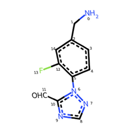 NCc1ccc(-n2ncnc2C=O)c(F)c1